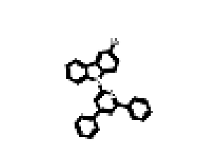 Brc1ccc2c(c1)c1ccccc1n2-c1cc(-c2ccccc2)cc(-c2ccccc2)n1